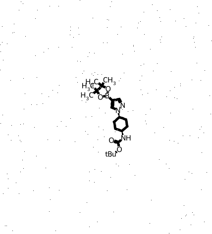 CC(C)(C)OC(=O)N[C@H]1CC[C@@H](n2cc(B3OC(C)(C)C(C)(C)O3)cn2)CC1